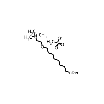 CCCCCCCCCCCCCCCCCCOCC[N+](C)(C)C.CS(=O)(=O)[O-]